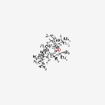 C[C@H]1CC[C@]2(C)C3=C[C@@H](O[Si](C)(C)C(C)(C)C)[C@@H]4[C@@H]5CC(C)(C)CC[C@]5(C=O)CC[C@@]4(C)[C@]3(C)CC[C@H]2C1(C)C